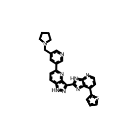 c1csc(-c2ccnc3[nH]c(-c4n[nH]c5ccc(-c6cncc(CN7CCCC7)c6)nc45)nc23)c1